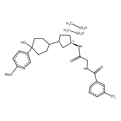 COc1ccc(C2(O)CCC(N3CC[C@@H](NC(=O)CNC(=O)c4cccc(C(F)(F)F)c4)C3)CC2)cn1.CS(=O)(=O)O.CS(=O)(=O)O